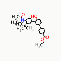 CCOC(=O)c1ccc(-c2ccc(O)c(-c3ccc(N(CC)C(C)=O)c(C(C)(C)C)c3)c2)cc1